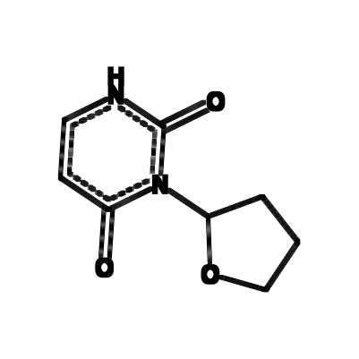 O=c1cc[nH]c(=O)n1C1CCCO1